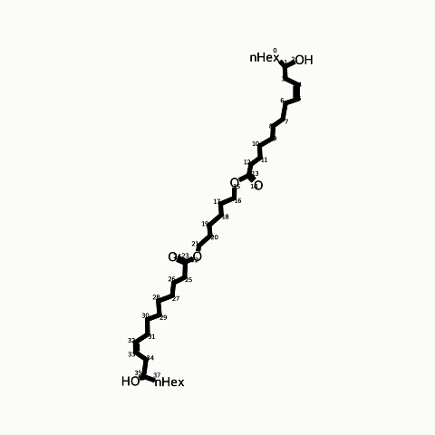 CCCCCCC(O)C/C=C\CCCCCCCC(=O)OCCCCCCOC(=O)CCCCCCC/C=C\CC(O)CCCCCC